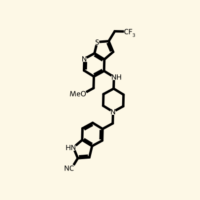 COCc1cnc2sc(CC(F)(F)F)cc2c1NC1CCN(Cc2ccc3[nH]c(C#N)cc3c2)CC1